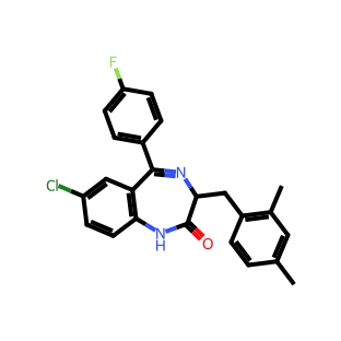 Cc1ccc(CC2N=C(c3ccc(F)cc3)c3cc(Cl)ccc3NC2=O)c(C)c1